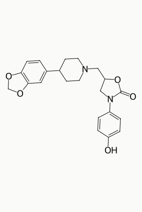 O=C1OC(CN2CCC(c3ccc4c(c3)OCO4)CC2)CN1c1ccc(O)cc1